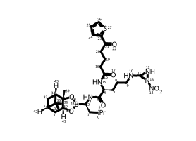 CC(C)C[C@H](NC(=O)[C@H](CCCNC1NN1[N+](=O)[O-])NC(=O)CCCC(=O)c1cccs1)B1O[C@@H]2C[C@@H]3C[C@@H](C3(C)C)[C@]2(C)O1